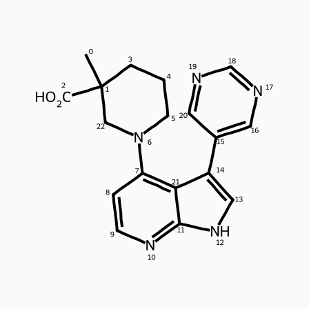 CC1(C(=O)O)CCCN(c2ccnc3[nH]cc(-c4cncnc4)c23)C1